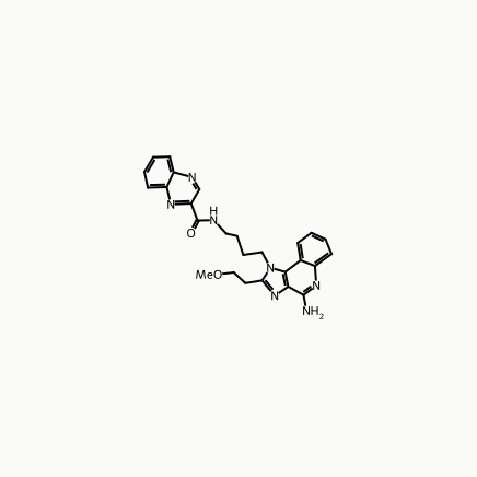 COCCc1nc2c(N)nc3ccccc3c2n1CCCCNC(=O)c1cnc2ccccc2n1